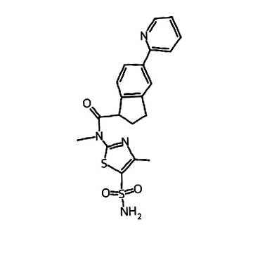 Cc1nc(N(C)C(=O)C2CCc3cc(-c4ccccn4)ccc32)sc1S(N)(=O)=O